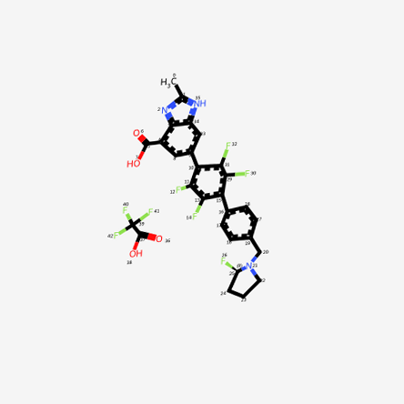 Cc1nc2c(C(=O)O)cc(-c3c(F)c(F)c(-c4ccc(CN5CCC[C@H]5F)cc4)c(F)c3F)cc2[nH]1.O=C(O)C(F)(F)F